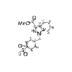 COC(=O)c1nn(Cc2ccc(S(C)(=O)=O)cc2)c2ccccc12